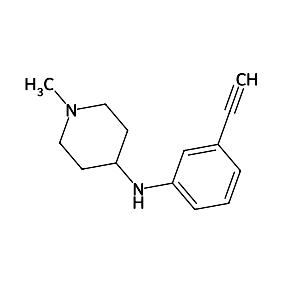 C#Cc1cccc(NC2CCN(C)CC2)c1